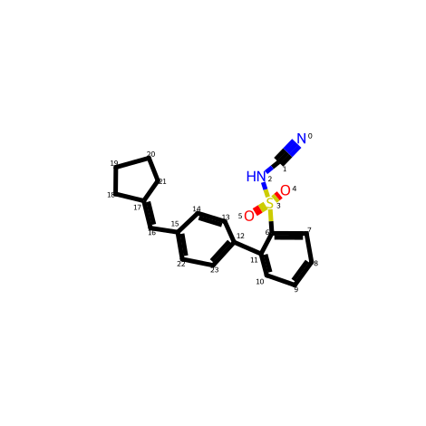 N#CNS(=O)(=O)c1ccccc1-c1ccc(C=C2CCCC2)cc1